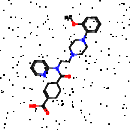 COc1ccccc1N1CCN(CCN(C(=O)C2CC=C(C(=O)O)CC2)c2ccccn2)CC1